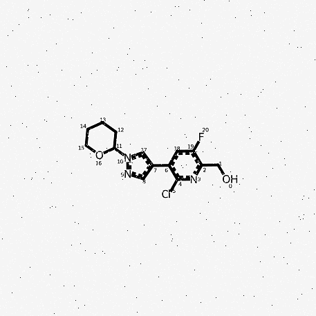 OCc1nc(Cl)c(-c2cnn(C3CCCCO3)c2)cc1F